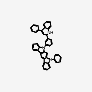 C1=C(c2ccccc2)c2ccccc2NC1c1cccc(-n2c3ccccc3c3cc4c5ccccc5n(-c5ccccc5)c4cc32)c1